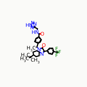 C[C@H](c1ccc(C(=O)NCc2nn[nH]n2)cc1)N1C(=O)C(c2ccc(C(F)(F)F)cc2)=NC12CCC(C(C)(C)C)CC2